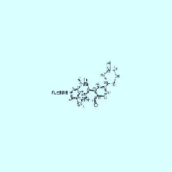 CC(=O)Nc1cc([C@@H](C)Nc2n[nH]c(=O)c3ccc(C4CCCNC4)cc23)cc(C(F)(F)F)c1